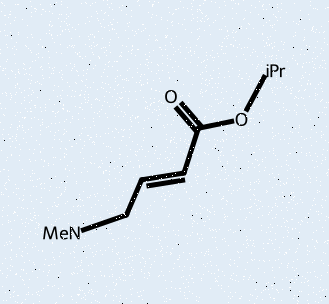 CNC/C=C/C(=O)OC(C)C